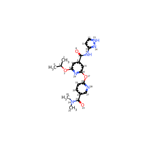 CC(C)Oc1cc(C(=O)Nc2cc[nH]n2)cc(Oc2ccc(C(=O)N(C)C)cn2)n1